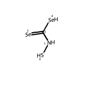 SNC(=[Se])[SeH]